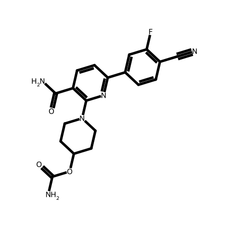 N#Cc1ccc(-c2ccc(C(N)=O)c(N3CCC(OC(N)=O)CC3)n2)cc1F